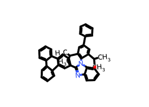 CC(C)c1cc(-c2ccccc2)cc(C(C)C)c1-n1c(-c2ccc3c4ccccc4c4ccccc4c3c2)nc2ccccc21